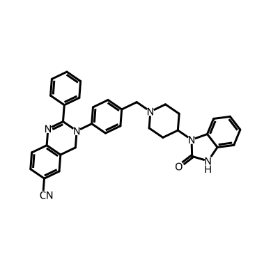 N#Cc1ccc2c(c1)CN(c1ccc(CN3CCC(n4c(=O)[nH]c5ccccc54)CC3)cc1)C(c1ccccc1)=N2